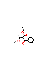 CCOC(=O)C(C(=O)c1ccccc1)=C(C)OCC